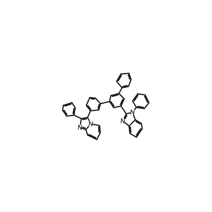 c1ccc(-c2cc(-c3cccc(-c4c(-c5ccccc5)nc5ccccn45)c3)cc(-c3nc4ccccc4n3-c3ccccc3)c2)cc1